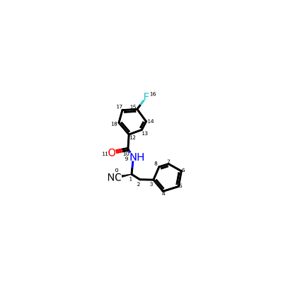 N#C[C@H](Cc1ccccc1)NC(=O)c1ccc(F)cc1